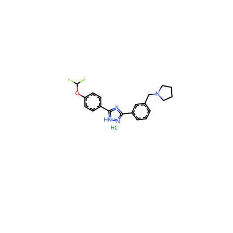 Cl.FC(F)Oc1ccc(-c2nc(-c3cccc(CN4CCCC4)c3)n[nH]2)cc1